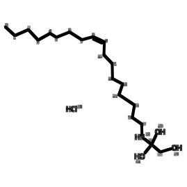 CCCCCCCC/C=C\CCCCCCCCNC(O)(O)CO.Cl